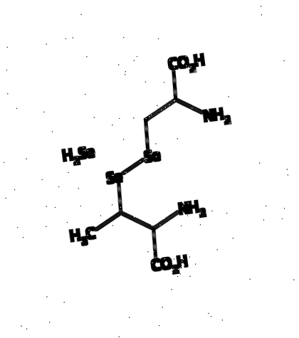 CC([Se][Se]CC(N)C(=O)O)C(N)C(=O)O.[SeH2]